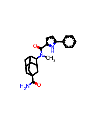 CN(C(=O)c1ccc(-c2ccccc2)[nH]1)C1C2CC3CC1CC(C(N)=O)(C3)C2